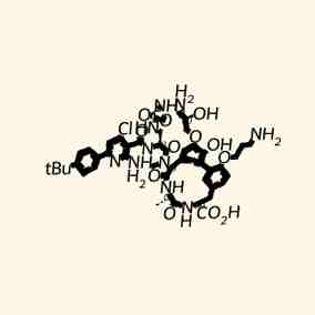 C[C@@H]1NC(=O)[C@@H](N(C)C(=O)[C@H](CNS(N)(=O)=O)NC(=O)c2c(Cl)cc(-c3ccc(C(C)(C)C)cc3)nc2N)c2cc(OC[C@H](O)CN)c(O)c(c2)-c2cc(ccc2OCCCN)C[C@@H](C(=O)O)NC1=O